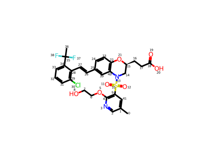 Cc1cnc(OCCO)c(S(=O)(=O)N2C[C@H](CCC(=O)O)Oc3ccc(/C=C/c4c(Cl)cccc4C(C)(F)F)cc32)c1